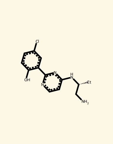 CC[C@H](CN)Nc1ccnc(-c2cc(Cl)ccc2O)n1